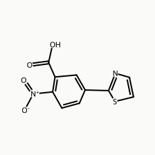 O=C(O)c1cc(-c2nccs2)ccc1[N+](=O)[O-]